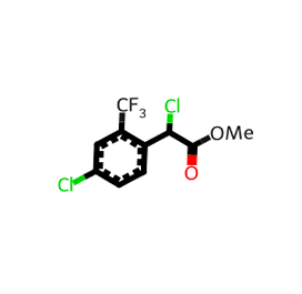 COC(=O)C(Cl)c1ccc(Cl)cc1C(F)(F)F